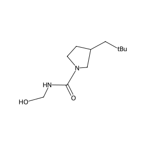 CC(C)(C)CC1CCN(C(=O)NCO)C1